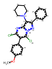 COc1ccc(-c2c(Cl)nc3c(N4CCCCC4)c(-c4ccccc4)nn3c2Cl)cc1